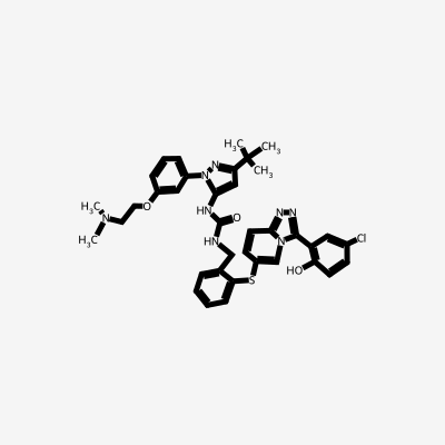 CN(C)CCOc1cccc(-n2nc(C(C)(C)C)cc2NC(=O)NCc2ccccc2Sc2ccc3nnc(-c4cc(Cl)ccc4O)n3c2)c1